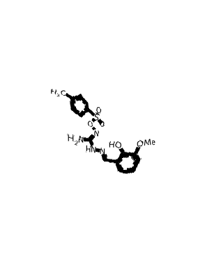 COc1cccc(C=NNC(N)=NOS(=O)(=O)c2ccc(C)cc2)c1O